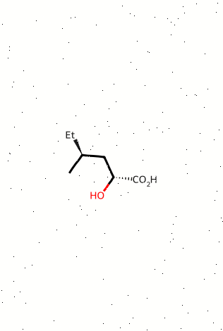 CC[C@H](C)C[C@@H](O)C(=O)O